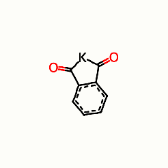 O=[C]1[K][C](=O)c2ccccc21